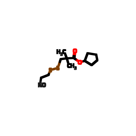 CC(C)(CSSCCN=O)C(=O)OC1CCCC1